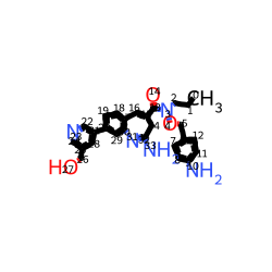 CCCN(OCc1ccc(N)cc1)C(=O)C1=Cc2ccc(-c3cncc(CO)c3)cc2N=C(N)C1